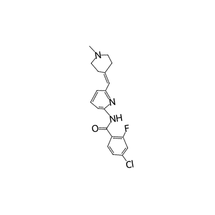 CN1CCC(=Cc2cccc(NC(=O)c3ccc(Cl)cc3F)n2)CC1